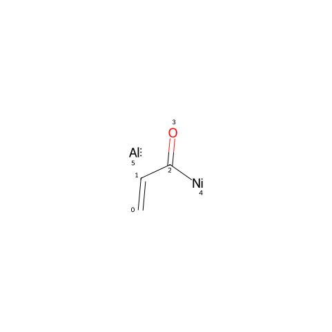 C=C[C](=O)[Ni].[Al]